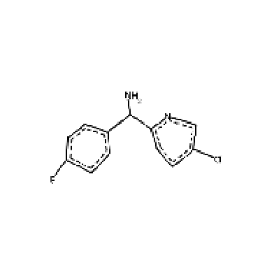 NC(c1ccc(F)cc1)c1ccc(Cl)cn1